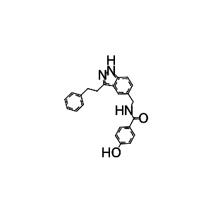 O=C(NCc1ccc2[nH]nc(CCc3ccccc3)c2c1)c1ccc(O)cc1